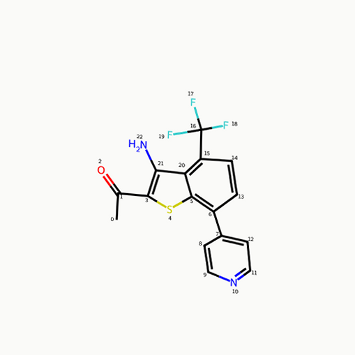 CC(=O)c1sc2c(-c3ccncc3)ccc(C(F)(F)F)c2c1N